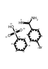 N=C(N)c1ccc(Br)cc1.O=S(=O)(O)c1ccccc1